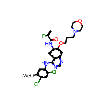 C=C(F)C(=O)Nc1cc2c(Nc3cc(OC)c(Cl)cc3Cl)ncnc2cc1OCCCN1CCOCC1